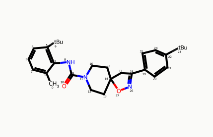 Cc1cccc(C(C)(C)C)c1NC(=O)N1CCC2(CC1)CC(c1ccc(C(C)(C)C)cc1)=NO2